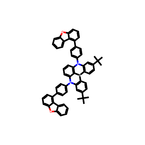 CC(C)(C)c1ccc2c(c1)N(c1ccc(-c3cccc4oc5ccccc5c34)cc1)c1cccc3c1B2c1ccc(C(C)(C)C)cc1N3c1ccc(-c2cccc3oc4ccccc4c23)cc1